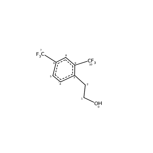 OCCc1[c]cc(C(F)(F)F)cc1C(F)(F)F